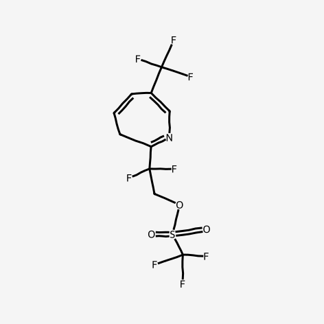 O=S(=O)(OCC(F)(F)C1=NC=C(C(F)(F)F)C=CC1)C(F)(F)F